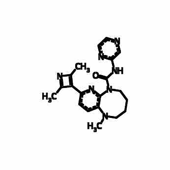 CC1=NC(C)=C1c1ccc2c(n1)N(C(=O)Nc1cnccn1)CCCCN2C